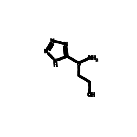 NN(CCO)c1nnn[nH]1